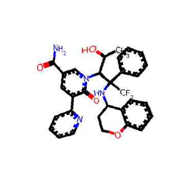 CC(O)C(n1cc(C(N)=O)cc(-c2ccccn2)c1=O)C(NC1CCOc2ccccc21)(c1ccccc1)C(F)(F)F